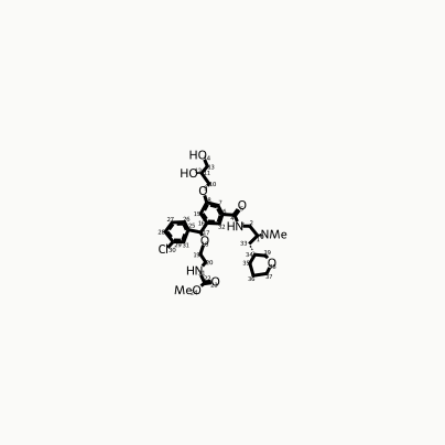 CN[C@H](CNC(=O)c1cc(OC[C@H](O)CO)cc(C(OCCNC(=O)OC)c2cccc(Cl)c2)c1)C[C@H]1CCCOC1